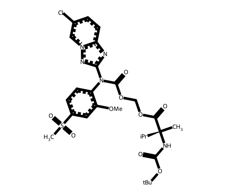 COc1cc(S(C)(=O)=O)ccc1N(C(=O)OCOC(=O)[C@](C)(NC(=O)OC(C)(C)C)C(C)C)c1nc2ccc(Cl)cn2n1